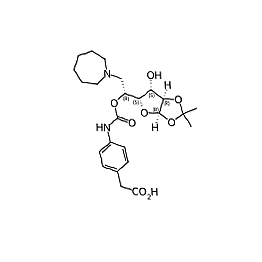 CC1(C)O[C@H]2O[C@H]([C@@H](CN3CCCCCC3)OC(=O)Nc3ccc(CC(=O)O)cc3)[C@H](O)[C@H]2O1